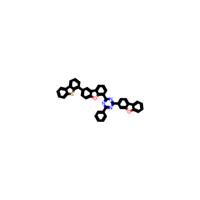 c1ccc(-c2nc(-c3ccc4c(c3)oc3ccccc34)nc(-c3cccc4c3oc3ccc(-c5cccc6c5sc5ccccc56)cc34)n2)cc1